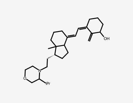 C=C1/C(=C\C=C2/CCCC3(C)C2CC[C@@H]3CCN2CCOCC2C(C)C)CCCC1O